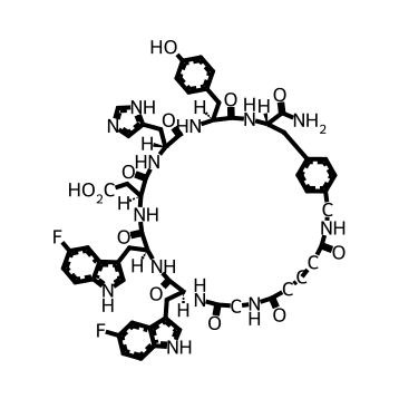 NC(=O)[C@@H]1Cc2ccc(cc2)CNC(=O)CCCC(=O)NCC(=O)N[C@@H](Cc2c[nH]c3ccc(F)cc23)C(=O)N[C@@H](Cc2c[nH]c3ccc(F)cc23)C(=O)N[C@@H](CC(=O)O)C(=O)N[C@H](Cc2cnc[nH]2)C(=O)N[C@@H](Cc2ccc(O)cc2)C(=O)N1